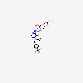 C[C@]1(O)CN(CC(N)=O)CC[C@@H]1CNc1ncnc(N(Cc2ccc(C(F)(F)F)cc2)C2CC2)c1F